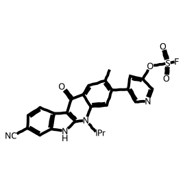 Cc1cc2c(=O)c3c4ccc(C#N)cc4[nH]c3n(C(C)C)c2cc1-c1cncc(OS(=O)(=O)F)c1